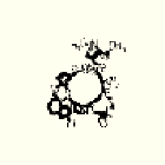 COc1nn(C)cc1C(=O)N[S@@]1(=O)=NC(=O)c2ccc3c(c2)N(C[C@@H]2CC[C@H]2[C@@H]2/C=C/[C@@H](OCCCC(=O)O2)[C@H](C)C1)C[C@@]1(CCCc2cc(Cl)ccc21)CO3